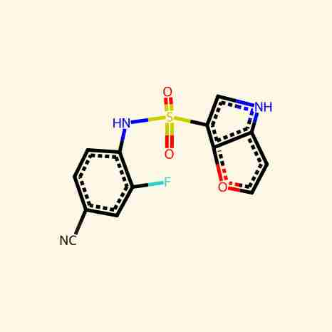 N#Cc1ccc(NS(=O)(=O)c2c[nH]c3ccoc23)c(F)c1